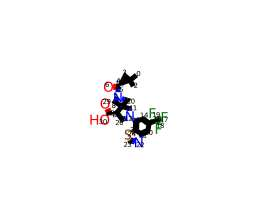 CC1(C)C[C@@H]1C(=O)N1CC2(C1)CN(c1cc(C(F)(F)F)cc3ncsc13)C[C@H]2C(=O)O